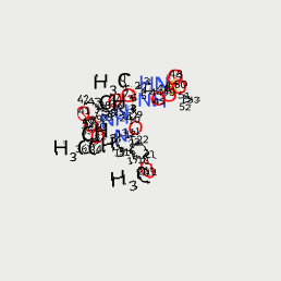 CC[C@@H]1C[C@]1(NC(=O)[C@@H]1CC(Oc2nccc3cc(OC)ccc23)CN1C(=O)[C@@H](NC(=O)OC(C)(C)C)C1(C)CCOCC1)C(=O)NS(=O)(=O)OC1CC1